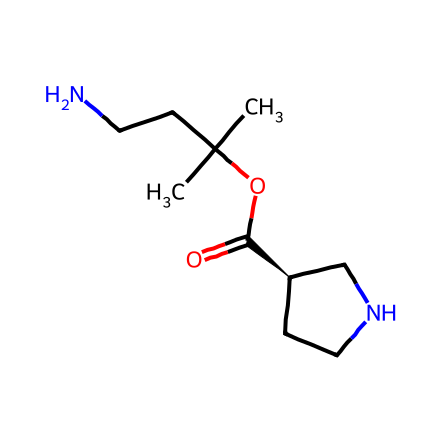 CC(C)(CCN)OC(=O)[C@@H]1CCNC1